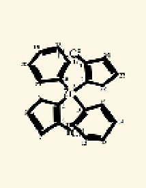 CC1=[C]([Zr]([C]2=C(C)C=CC2)([c]2ccccc2)[c]2ccccc2)CC=C1